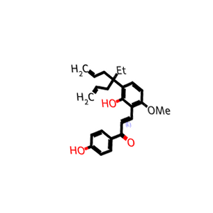 C=CCC(CC)(CC=C)c1ccc(OC)c(/C=C/C(=O)c2ccc(O)cc2)c1O